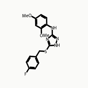 COc1ccc(Nc2n[nH]c(SCc3ccc(F)cc3)n2)c(OC)c1